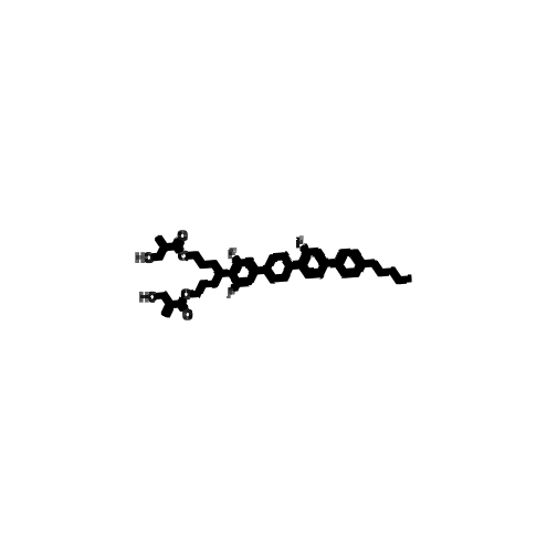 C=C(CO)C(=O)OCCCC(CCCOC(=O)C(C)CO)c1c(F)cc(C2CCC(c3ccc(-c4ccc(CCCCC)cc4)cc3F)CC2)cc1F